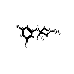 CN1CC(C)(Oc2cc(F)cc(F)c2)C1